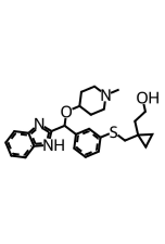 CN1CCC(OC(c2cccc(SCC3(CCO)CC3)c2)c2nc3ccccc3[nH]2)CC1